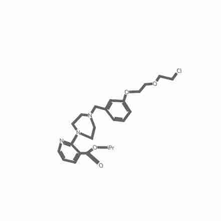 CC(C)OC(=O)c1cccnc1N1CCN(Cc2cccc(OCCOCCCl)c2)CC1